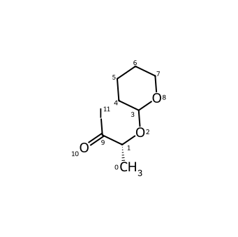 C[C@@H](OC1CCCCO1)C(=O)I